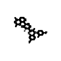 COc1ccnc(C(=O)N[C@@H](C)C(=O)O[C@@H](C)[C@@H](c2ccc(F)cc2C)c2ccc(F)cc2F)c1OC(C)=O